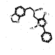 CCCCn1c(-c2ccccc2)nc(C)c1CN(CCC)Cc1ccc2c(c1)OCO2